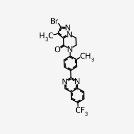 Cc1cc(-c2ncc3cc(C(F)(F)F)ccc3n2)ccc1N1CCn2nc(Br)c(C)c2C1=O